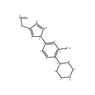 CC(=O)NCc1cn(-c2ccc(N3CCOCC3)c(F)c2)nn1